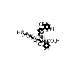 O=C(O)c1ccccc1NC(=O)C(CNCCOCCO)NCc1ccc(-c2cc(Cl)ccc2Cl)o1